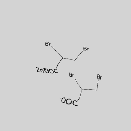 O=C([O-])C(Br)CBr.O=C([O-])C(Br)CBr.[Zn+2]